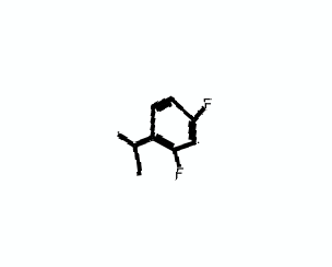 CC(C)c1ccc(F)[c]c1F